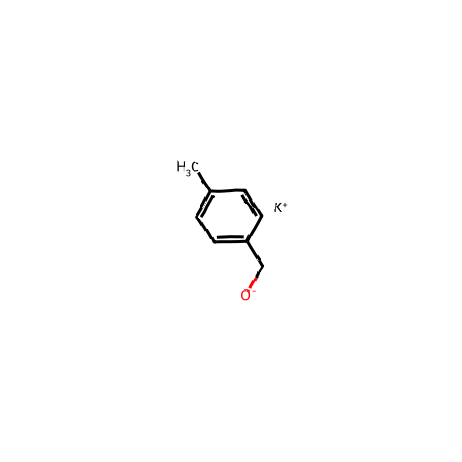 Cc1ccc(C[O-])cc1.[K+]